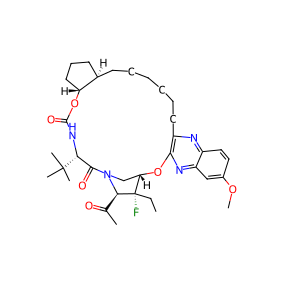 CC[C@]1(F)[C@@H]2CN(C(=O)[C@H](C(C)(C)C)NC(=O)O[C@@H]3CCC[C@H]3CCCCCCc3nc4ccc(OC)cc4nc3O2)[C@@H]1C(C)=O